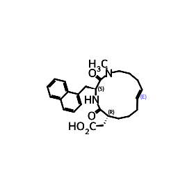 CN1CCC/C=C/CCC[C@H](CC(=O)O)C(=O)N[C@@H](Cc2cccc3ccccc23)C1=O